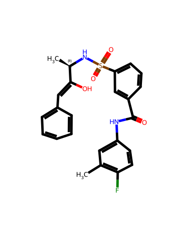 Cc1cc(NC(=O)c2cccc(S(=O)(=O)N[C@H](C)C(O)=Cc3ccccc3)c2)ccc1F